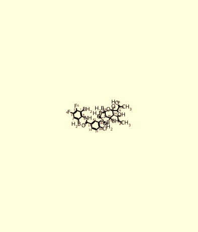 Bc1cc(F)c(F)c(B)c1NC(=O)c1ccc(Cl)c(S(=O)(=O)[C@@H]2C(B)(B)O[C@](O)(C(O)C(C)=O)[C@@H](CCC)C2(B)B)c1